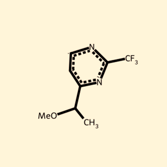 COC(C)c1c[c]nc(C(F)(F)F)n1